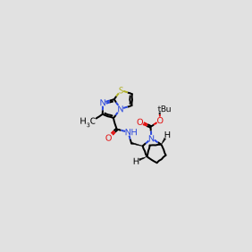 Cc1nc2sccn2c1C(=O)NC[C@@H]1[C@H]2CC[C@H](C2)N1C(=O)OC(C)(C)C